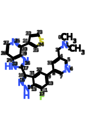 CN(C)Cc1cncc(-c2cc(F)c3[nH]nc(-c4nc5c(-c6ccsc6)nccc5[nH]4)c3c2)c1